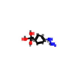 NNc1ccc([As](=O)(O)O)cc1